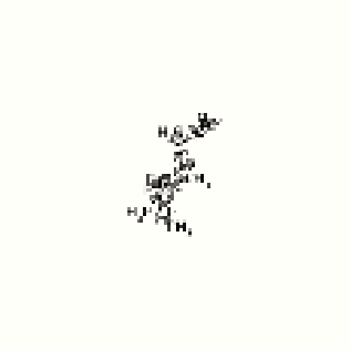 Cc1cc(C)c2c(c1)C=C(C(=O)OC(C)OC(=O)OCCN(C)CCO[N+](=O)[O-])C(C(F)(F)F)O2